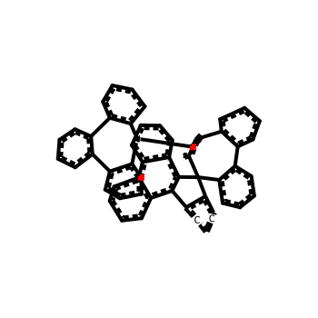 c1ccc2c(c1)-c1ccccc1N(c1ccc3c(c1)C1(c4ccccc4-c4ccccc4-3)c3ccccc3-c3c1c1ccccc1c1ccccc31)c1ccccc1-2